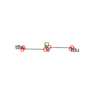 CC(C)(C)OC(=O)CCCCCCCCCCCCCCCCCCCCOc1c2ccccc2c(OCCCCCCCCCCCCCCCCCCCCC(=O)OC(C)(C)C)c2cc(Cl)ccc12